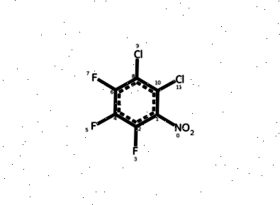 O=[N+]([O-])c1c(F)c(F)c(F)c(Cl)c1Cl